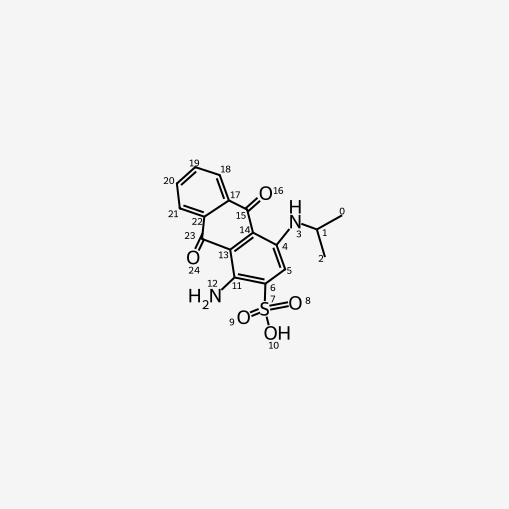 CC(C)Nc1cc(S(=O)(=O)O)c(N)c2c1C(=O)c1ccccc1C2=O